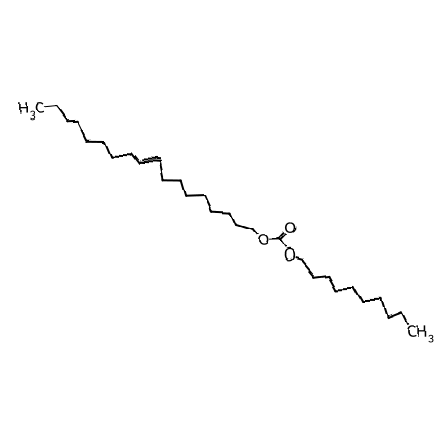 CCCCCCCCC=CCCCCCCCCOC(=O)OCCCCCCCCCC